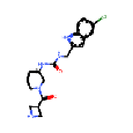 O=C(NCc1cc2cc(Cl)ccc2[nH]1)N[C@@H]1CCCN(C(=O)C2CNC2)C1